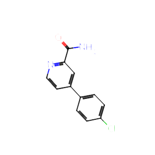 NC(=O)c1[c]c(-c2ccc(Cl)cc2)ccn1